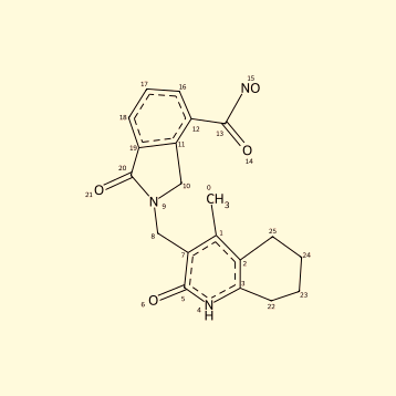 Cc1c2c([nH]c(=O)c1CN1Cc3c(C(=O)N=O)cccc3C1=O)CCCC2